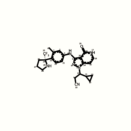 Cc1cc(Nc2nn(C(CC#N)C3CC3)c3cc[nH]c(=O)c23)ccc1[C@]1(C(F)(F)F)CCCN1